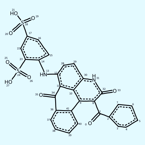 O=C(c1ccccc1)c1c2c3c(c(Nc4ccc(S(=O)(=O)O)cc4S(=O)(=O)O)ccc3[nH]c1=O)C(=O)c1ccccc1-2